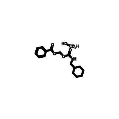 O=C(NCC1CCCCC1)OCOC(=O)c1ccccc1.O=C(O)O